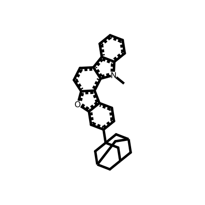 Cn1c2ccccc2c2ccc3oc4cc(C56CC7CC(CC(C7)C5)C6)ccc4c3c21